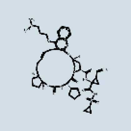 C=CC1C[C@]1(NC(=O)[C@@H]1C[C@@H]2CN1C(=O)[C@H](C1CCCC1)NC(=O)O[C@@H]1CCC[C@H]1CC/C=C/Cc1c(nc3ccccc3c1OCCCN(C)C)O2)C(=O)NS(=O)(=O)C1CC1